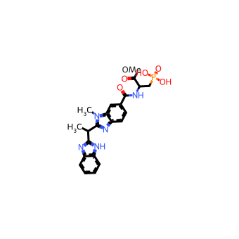 COC(=O)C(CP(=O)(O)O)NC(=O)c1ccc2nc(C(C)c3nc4ccccc4[nH]3)n(C)c2c1